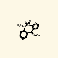 CN1c2ccccc2/C(=N/O)c2ccsc2S1(=O)=O